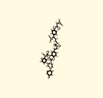 Cc1ccc(N2CCN(C(=O)Oc3ccc(/C=C/S(=O)(=O)CCCC(c4ccc(OC(=O)CN(C)C)cc4)N(C)C)cc3OC(=O)N(C)c3ccccc3)CC2)cc1